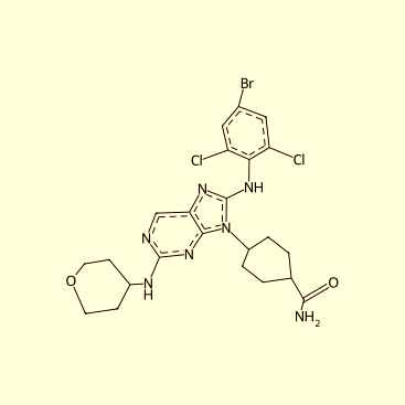 NC(=O)C1CCC(n2c(Nc3c(Cl)cc(Br)cc3Cl)nc3cnc(NC4CCOCC4)nc32)CC1